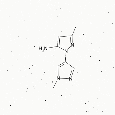 Cc1cc(N)n(-c2cnn(C)c2)n1